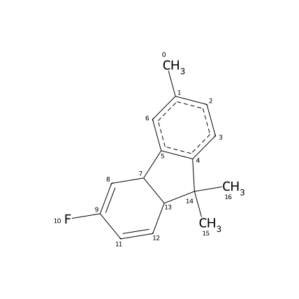 Cc1ccc2c(c1)C1C=C(F)C=CC1C2(C)C